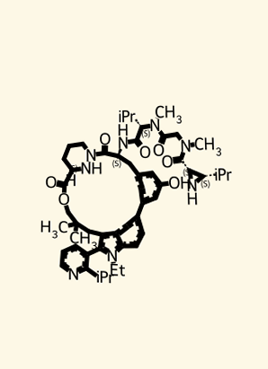 CCn1c(-c2cccnc2C(C)C)c2c3cc(ccc31)-c1cc(O)cc(c1)C[C@H](NC(=O)[C@H](C(C)C)N(C)C(=O)CN(C)C(=O)[C@H]1N[C@H]1C(C)C)C(=O)N1CCC[C@H](N1)C(=O)OCC(C)(C)C2